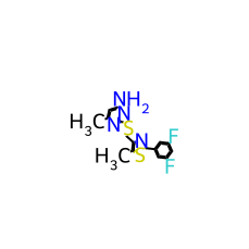 Cc1cc(N)nc(SCc2nc(-c3cc(F)cc(F)c3)sc2C)n1